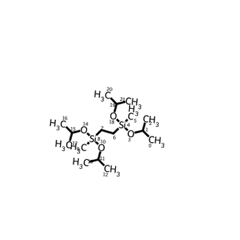 CC(C)O[Si](C)(CC[Si](C)(OC(C)C)OC(C)C)OC(C)C